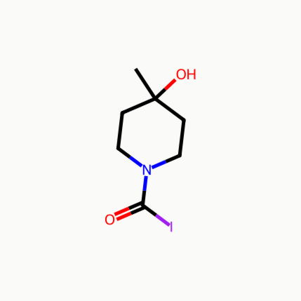 CC1(O)CCN(C(=O)I)CC1